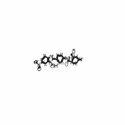 O=Cc1cc(F)ccc1C(=O)Nc1ccc(-c2nc3ccc([N+](=O)[O-])cc3n2O)cc1